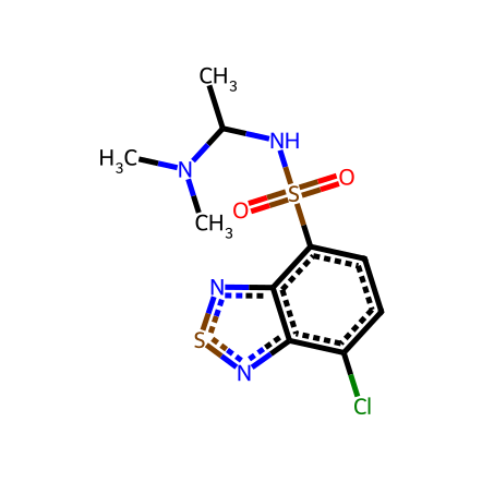 CC(NS(=O)(=O)c1ccc(Cl)c2nsnc12)N(C)C